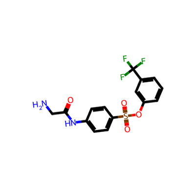 NCC(=O)Nc1ccc(S(=O)(=O)Oc2cccc(C(F)(F)F)c2)cc1